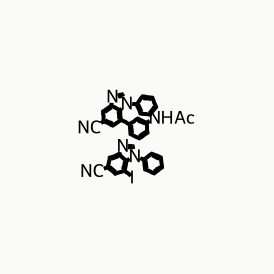 CC(=O)Nc1cccc(-c2cc(C#N)cc3ncn(-c4ccccc4)c23)c1.N#Cc1cc(I)c2c(c1)ncn2-c1ccccc1